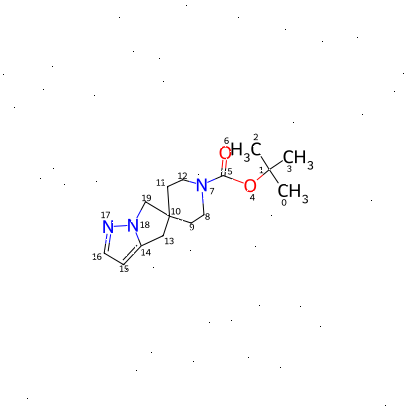 CC(C)(C)OC(=O)N1CCC2(CC1)Cc1ccnn1C2